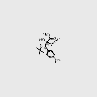 CN(C)c1ccc([C@H](OC(C)(C)C)[C@](O)(N=C=O)C(=O)O)cc1